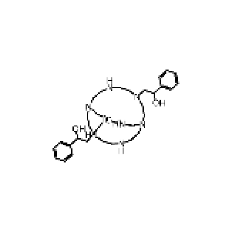 OC(CN1CCNCCN2CCNCCNCCN(CCNCCN(CC(O)c3ccccc3)CC2)CC1)c1ccccc1